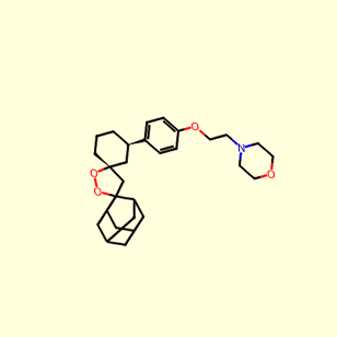 c1cc([C@@H]2CCC[C@@]3(C2)CC2(OO3)C3CC4CC(C3)CC2C4)ccc1OCCN1CCOCC1